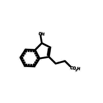 O=C(O)CCC1=CC(O)c2ccccc21